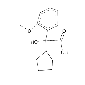 COc1ccccc1C(O)(C(=O)O)C1CCCC1